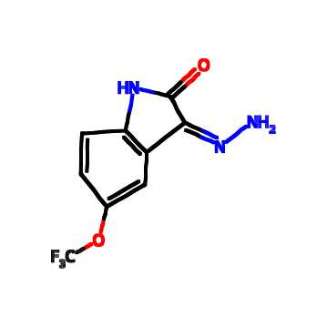 N/N=C1\C(=O)Nc2ccc(OC(F)(F)F)cc21